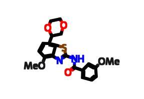 COc1cccc(C(=O)Nc2nc3c(OC)ccc(C4COCCO4)c3s2)c1